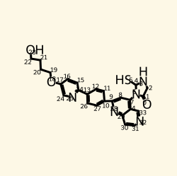 O=C1CNC(S)N1c1cc(-c2ccc(-c3ccc(OCCCCO)cn3)cc2)nc2ccncc12